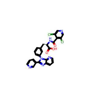 O=C(N[C@@H](Cc1cccc(-n2c(-c3cccnc3)nc3cccnc32)c1)C(=O)O)c1c(Cl)cncc1Cl